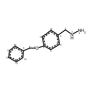 NNCc1ccc(OCc2ccccc2)cc1